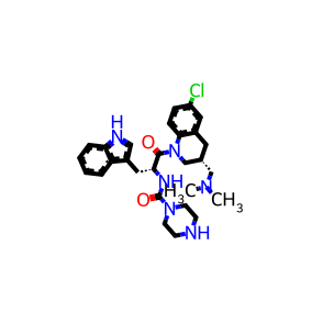 CN(C)C[C@H]1Cc2cc(Cl)ccc2N(C(=O)[C@@H](Cc2c[nH]c3ccccc23)NC(=O)N2CCNCC2)C1